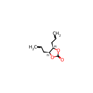 C=CC[C@@H]1OC(=O)O[C@@H]1CC=C